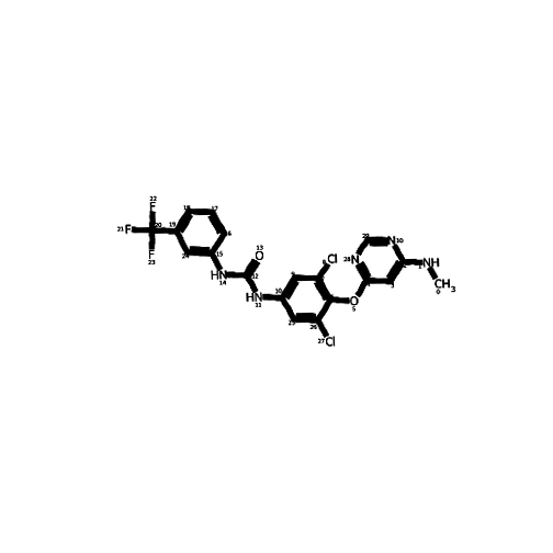 CNc1cc(Oc2c(Cl)cc(NC(=O)Nc3cccc(C(F)(F)F)c3)cc2Cl)ncn1